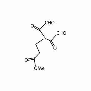 COC(=O)CCN(C(=O)C=O)C(=O)C=O